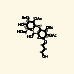 CC(=O)O[C@H]1[C@@H](OC2[C@@H](CO)O[C@@H](OCCCO)[C@H](OC(C)=O)[C@H]2OC(C)=O)O[C@H](CO)[C@@H](O)[C@@H]1OC(C)=O